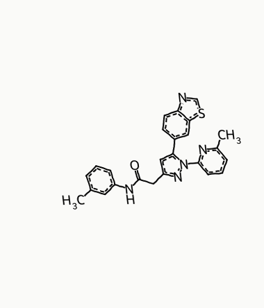 Cc1cccc(NC(=O)Cc2cc(-c3ccc4ncsc4c3)n(-c3cccc(C)n3)n2)c1